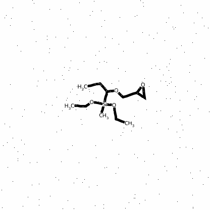 [CH2]CC(OCC1CO1)[Si](C)(OCC)OCC